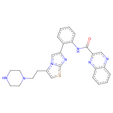 O=C(Nc1ccccc1-c1cn2c(CCN3CCNCC3)csc2n1)c1cnc2ccccc2n1